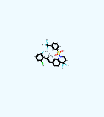 CC(=Cc1ccc2c(c1)N(S(=O)(=O)c1cccc(C(F)(F)F)c1)CCC2(F)F)c1c(F)cccc1Cl